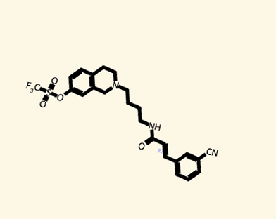 N#Cc1cccc(/C=C/C(=O)NCCCCN2CCc3ccc(OS(=O)(=O)C(F)(F)F)cc3C2)c1